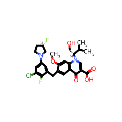 COc1cc2c(cc1Cc1cc(N3CC[C@H](F)C3)cc(Cl)c1F)c(=O)c(C(=O)O)cn2[C@H](CO)C(C)C